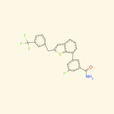 NC(=O)c1cc(F)cc(-c2cccc3cc(Cc4cccc(C(F)(F)F)c4)sc23)c1